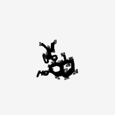 CC[C@H](C)C(=O)O[C@H]1C[C@H](O)C=C2C=CC[C@H](C)C21